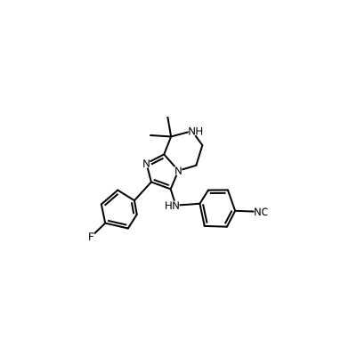 [C-]#[N+]c1ccc(Nc2c(-c3ccc(F)cc3)nc3n2CCNC3(C)C)cc1